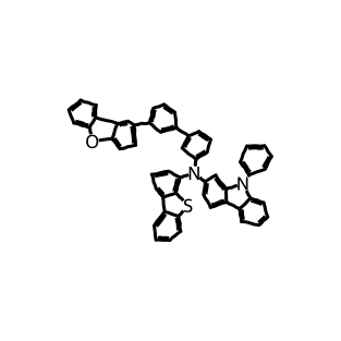 c1ccc(-n2c3ccccc3c3ccc(N(c4cccc(-c5cccc(-c6ccc7oc8ccccc8c7c6)c5)c4)c4cccc5c4sc4ccccc45)cc32)cc1